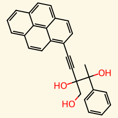 CC(O)(c1ccccc1)C(O)(C#Cc1ccc2ccc3cccc4ccc1c2c34)CO